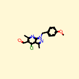 COc1ccc(Cn2nc(C)c3c(Cl)c(C=O)c(C)nc32)cc1